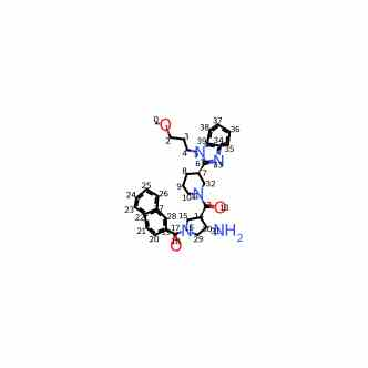 COCCCn1c([C@@H]2CCCN(C(=O)[C@@H]3CN(C(=O)c4ccc5ccccc5c4)C[C@H]3N)C2)nc2ccccc21